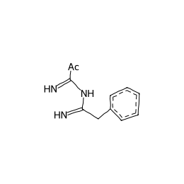 CC(=O)C(=N)NC(=N)Cc1ccccc1